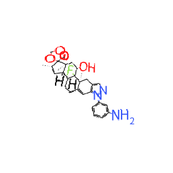 C[C@H]1C[C@H]2[C@@H]3CCC4=Cc5c(cnn5-c5cccc(N)c5)C[C@]4(C)[C@@]3(F)[C@@H](O)C[C@]2(C)[C@]12OCOC21COCO1